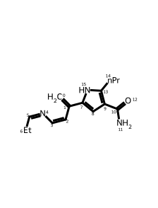 C=C(/C=C\N=C/CC)c1cc(C(N)=O)c(CCC)[nH]1